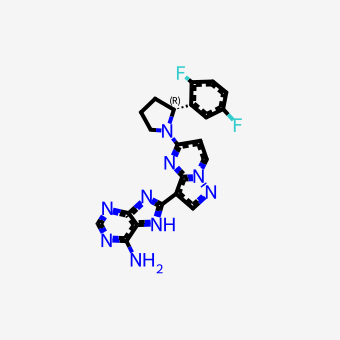 Nc1ncnc2nc(-c3cnn4ccc(N5CCC[C@@H]5c5cc(F)ccc5F)nc34)[nH]c12